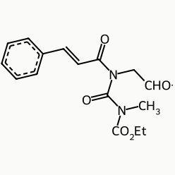 CCOC(=O)N(C)C(=O)N(C[C]=O)C(=O)C=Cc1ccccc1